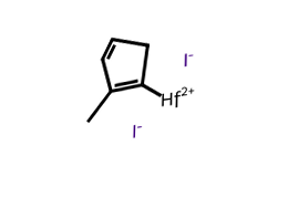 CC1=[C]([Hf+2])CC=C1.[I-].[I-]